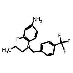 CCCN(Cc1ccc(C(F)(F)F)cc1)c1ccc(N)cc1F